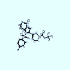 Cc1ccc(S(=O)(=O)n2c(C3=CCCN(C(=O)OC(C)(C)C)C3)cc3c(Cl)ncnc32)cc1